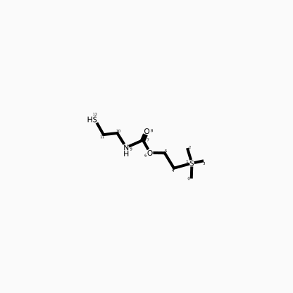 CS(C)(C)CCOC(=O)NCCS